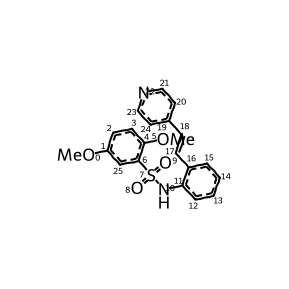 COc1ccc(OC)c(S(=O)(=O)Nc2ccccc2/C=C/c2ccncc2)c1